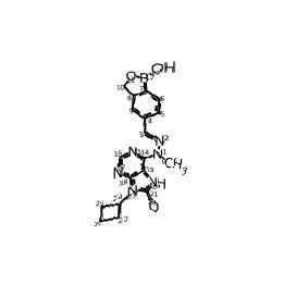 CN(/N=C/c1ccc2c(c1)COB2O)c1ncnc2c1[nH]c(=O)n2C1CCC1